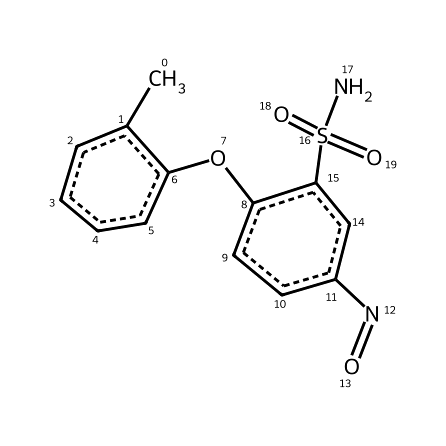 Cc1ccccc1Oc1ccc(N=O)cc1S(N)(=O)=O